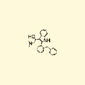 CN(C)CC(O)c1c(-c2ccccc2Cc2ccccc2)[nH]c2ccccc12